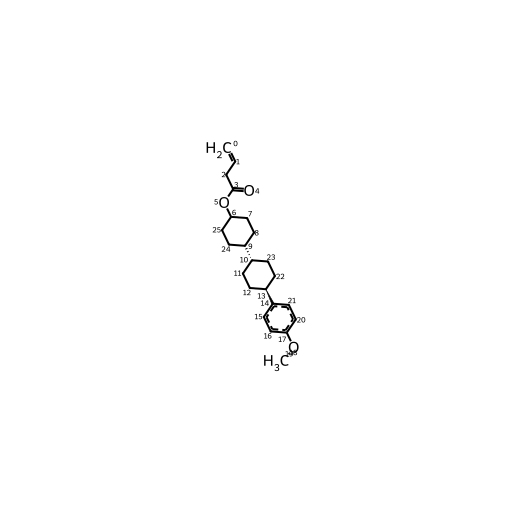 C=CCC(=O)OC1CCC([C@H]2CC[C@H](c3ccc(OC)cc3)CC2)CC1